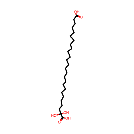 O=C(O)CCCCCCCCCCCCCCCCCCCCCCCC(O)(O)C(=O)O